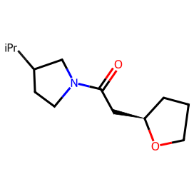 CC(C)C1CCN(C(=O)C[C@H]2CCCO2)C1